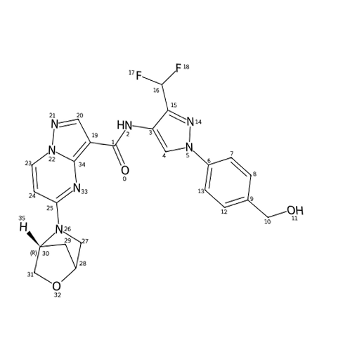 O=C(Nc1cn(-c2ccc(CO)cc2)nc1C(F)F)c1cnn2ccc(N3CC4C[C@@H]3CO4)nc12